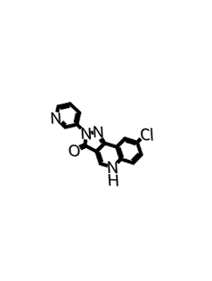 O=c1c2c[nH]c3ccc(Cl)cc3c-2nn1-c1cccnc1